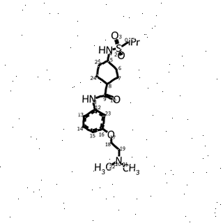 CC(C)S(=O)(=O)NC1CCC(C(=O)Nc2cccc(OCCN(C)C)c2)CC1